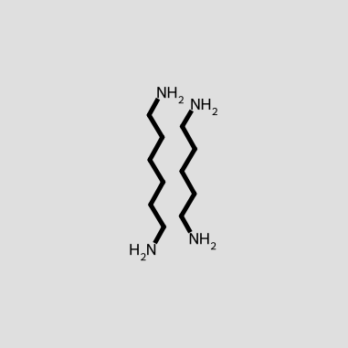 NCCCCCCN.NCCCCCN